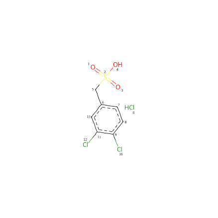 Cl.O=S(=O)(O)Cc1ccc(Cl)c(Cl)c1